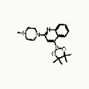 CN1CCN(c2cc(B3OC(C)(C)C(C)(C)O3)c3ccccc3n2)CC1